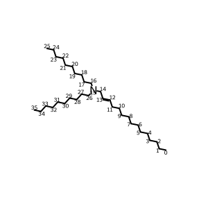 CCCCCCCCCCCCC=CCN(CCCCCCCCCC)CCCCCCCCCC